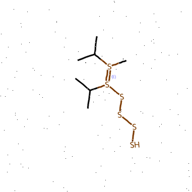 CC(C)/S(C)=S(/SSSS)C(C)C